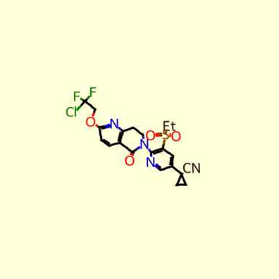 CCS(=O)(=O)c1cc(C2(C#N)CC2)cnc1N1CCc2nc(OCC(F)(F)Cl)ccc2C1=O